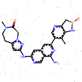 Cc1c(-c2cc3cc(Nc4cc5n(n4)CC(=O)N(C)CC5)ncc3c(N)n2)cnc2c1N[S+]([O-])C2